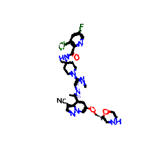 C=N/C(=C\N=C(/C)c1cc(OC[C@H]2CNCCO2)cn2ncc(C#N)c12)N1CCC(C)(NC(=O)c2ncc(F)cc2Cl)CC1